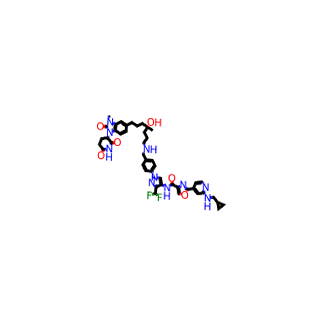 Cn1c(=O)n(C2CCC(=O)NC2=O)c2ccc(CCCC(C)(O)CCCNCc3ccc(-n4cc(NC(=O)c5coc(-c6ccnc(NCC7CC7)c6)n5)c(C(F)F)n4)cc3)cc21